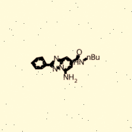 CCCCNC(=O)c1cc(N)n2nc(-c3ccccc3)nc2c1